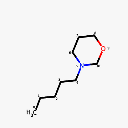 CCCCCN1CCCOC1